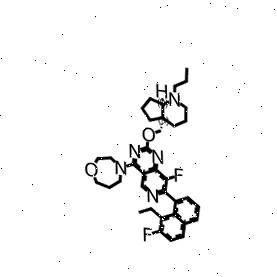 CCCN1CCC[C@@]2(COc3nc(N4CCCOCC4)c4cnc(-c5cccc6ccc(F)c(CC)c56)c(F)c4n3)CCC[C@@H]12